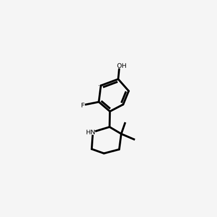 CC1(C)CCCNC1c1ccc(O)[c]c1F